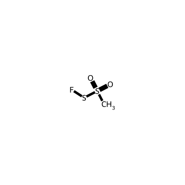 CS(=O)(=O)SF